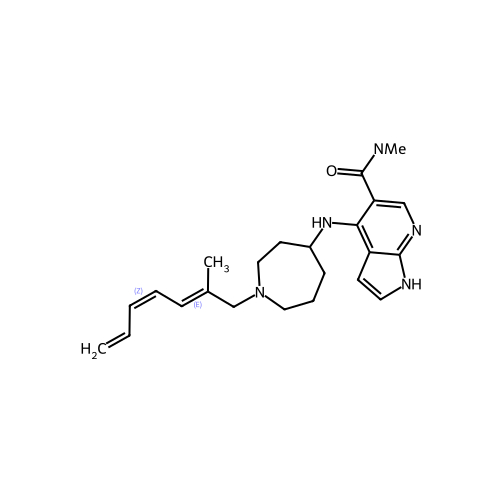 C=C/C=C\C=C(/C)CN1CCCC(Nc2c(C(=O)NC)cnc3[nH]ccc23)CC1